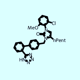 CCCCCc1cn(-c2c(Cl)cccc2OC)c(=O)n1Cc1ccc(-c2ccccc2-c2nnn[nH]2)cc1